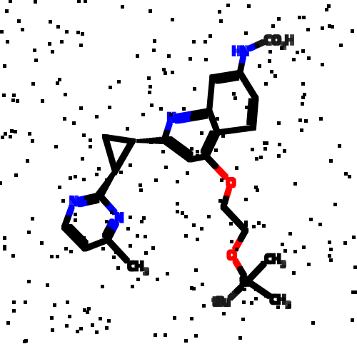 Cc1ccnc([C@H]2C[C@@H]2c2cc(OCCO[Si](C)(C)C(C)(C)C)c3ccc(NC(=O)O)cc3n2)n1